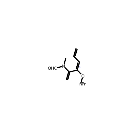 C=C/C=C(/OCCC)C(=C)N(C)C=O